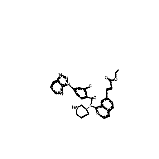 CCOC(=O)C=Cc1ccc2ccnc(N(C(=O)c3ccc(-n4nnc5cccnc54)cc3F)[C@@H]3CCCNC3)c2c1